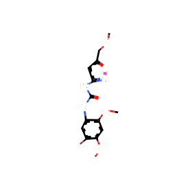 COCc1cc(NC(=O)Nc2cc(Br)c(OC)cc2OC)no1